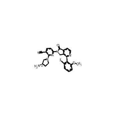 COc1cccc(F)c1-c1nccc2c1CN(c1ccc(C#N)c(N3CC[C@@H](N)C3)n1)C2=O